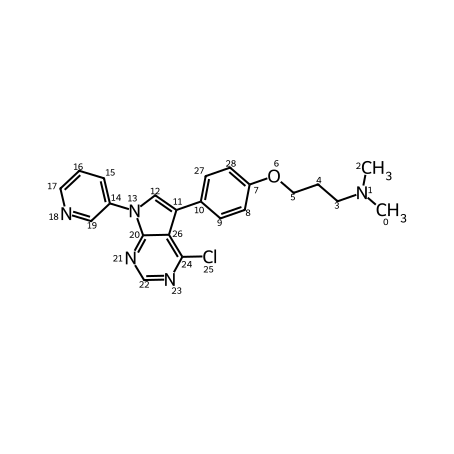 CN(C)CCCOc1ccc(-c2cn(-c3cccnc3)c3ncnc(Cl)c23)cc1